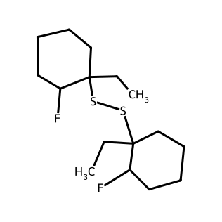 CCC1(SSC2(CC)CCCCC2F)CCCCC1F